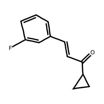 O=C(/C=C/c1cccc(F)c1)C1CC1